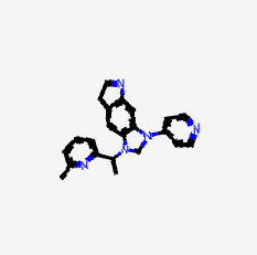 Cc1cccc(C(C)N2CN(c3ccncc3)c3cc4c(cc32)CC=N4)n1